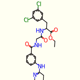 CCOC(=O)C(Cc1cc(Cl)cc(Cl)c1)NC(=O)CNC(=O)c1cccc(NC2=NCCCC2)c1